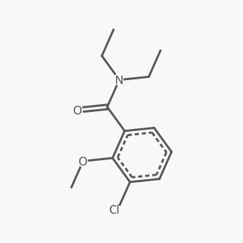 CCN(CC)C(=O)c1cccc(Cl)c1OC